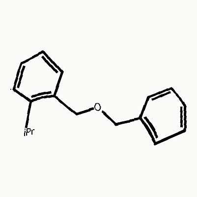 CC(C)c1[c]cccc1COCc1ccccc1